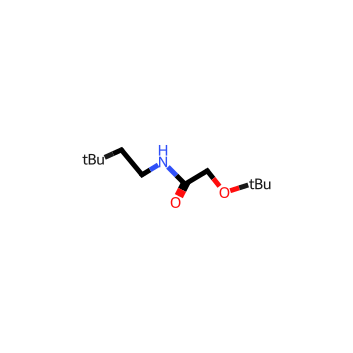 CC(C)(C)CCNC(=O)COC(C)(C)C